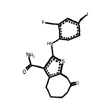 NC(=O)c1c(Nc2ccc(I)cc2F)sc2c1CCCC2=O